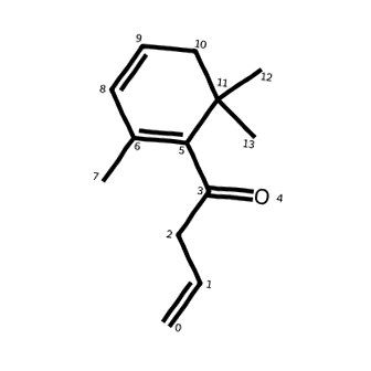 C=CCC(=O)C1=C(C)C=CCC1(C)C